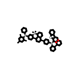 Cc1cc(C)c(N(c2ccccc2)c2ccc3c(c2)[Si](C)(C)c2cccc4c(-c5ccc(N(c6ccccc6-c6ccccc6)c6cccc7c6oc6ccccc67)cc5)ccc-3c24)c(C)c1